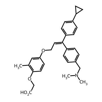 Cc1cc(OC/C=C(\c2ccc(CN(C)C)cc2)c2ccc(C3CC3)cc2)ccc1OCC(=O)O